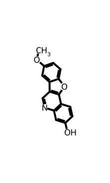 COc1ccc2oc3c4ccc(O)cc4ncc3c2c1